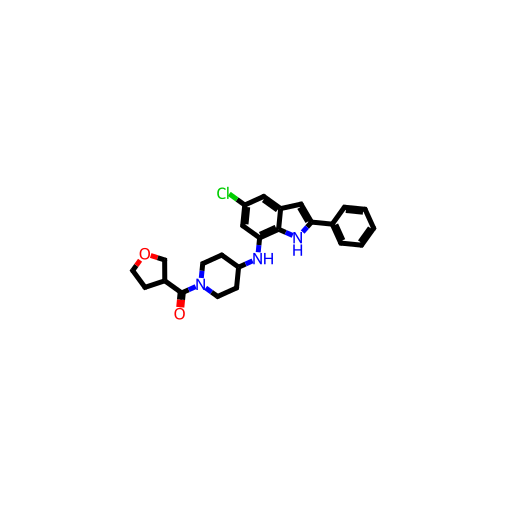 O=C(C1CCOC1)N1CCC(Nc2cc(Cl)cc3cc(-c4ccccc4)[nH]c23)CC1